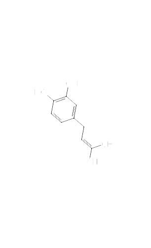 CC(C)=CCc1ccc(O)c(O)c1